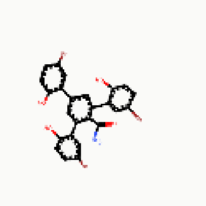 NC(=O)c1c(-c2cc(Br)ccc2O)cc(-c2cc(Br)ccc2O)cc1-c1cc(Br)ccc1O